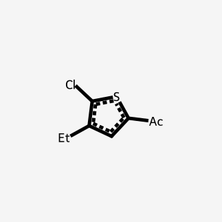 CCc1cc(C(C)=O)sc1Cl